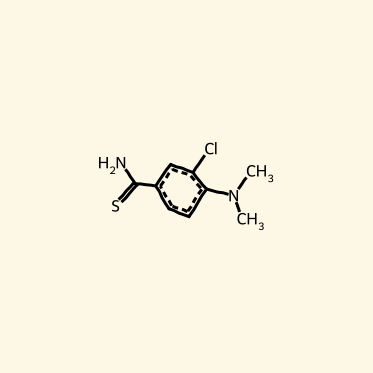 CN(C)c1ccc(C(N)=S)cc1Cl